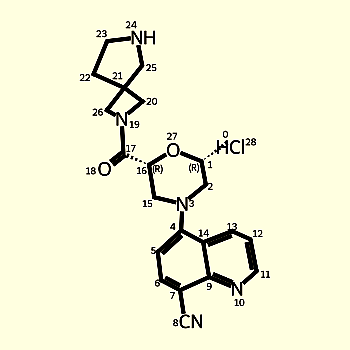 C[C@@H]1CN(c2ccc(C#N)c3ncccc23)C[C@H](C(=O)N2CC3(CCNC3)C2)O1.Cl